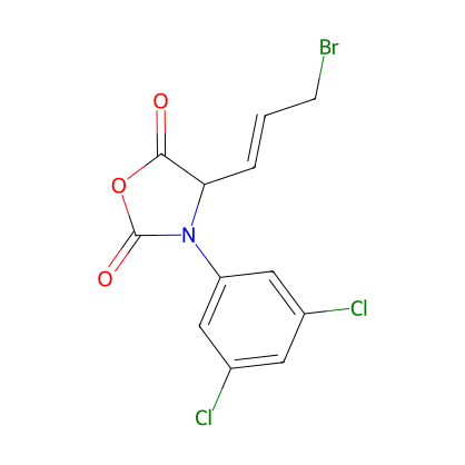 O=C1OC(=O)N(c2cc(Cl)cc(Cl)c2)C1C=CCBr